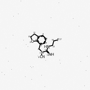 N#CN(Cc1cccc2c1OCC2)C(=N)NCCF